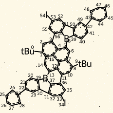 CC(C)(C)c1cc2c3c(cc4c(C(C)(C)C)cc5c6c(cc1c3c46)B1c3ccc(-c4ccccc4)cc3-c3cc(I)cc-5c31)B1c3ccc(-c4ccccc4)cc3-c3cc(I)cc-2c31